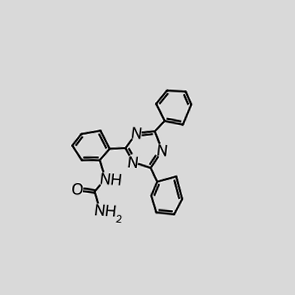 NC(=O)Nc1ccccc1-c1nc(-c2ccccc2)nc(-c2ccccc2)n1